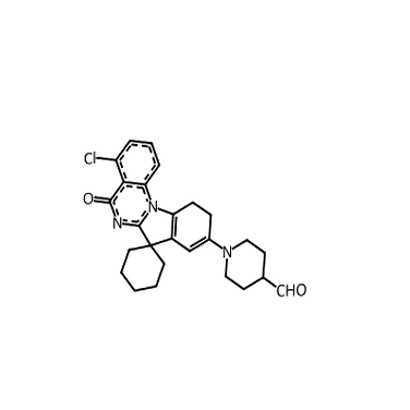 O=CC1CCN(C2=CC3=C(CC2)n2c(nc(=O)c4c(Cl)cccc42)C32CCCCC2)CC1